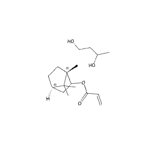 C=CC(=O)OC1C[C@H]2CC[C@@]1(C)C2(C)C.CC(O)CCO